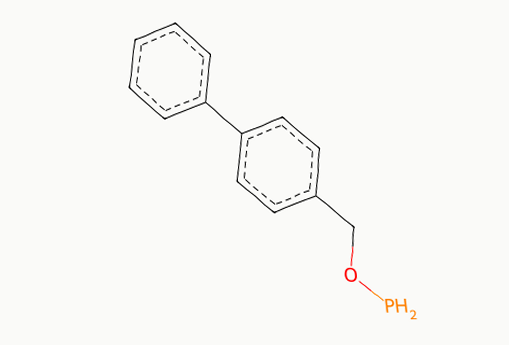 POCc1ccc(-c2ccccc2)cc1